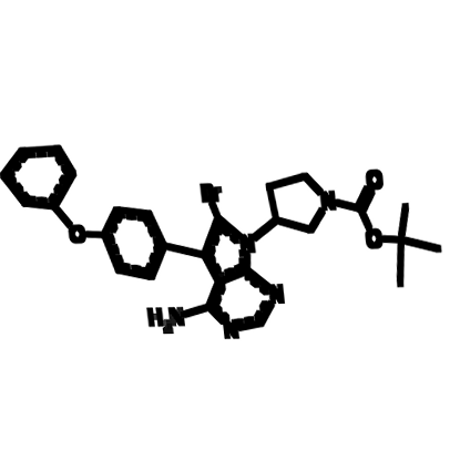 CC(C)(C)OC(=O)N1CCC(n2c(Br)c(-c3ccc(Oc4ccccc4)cc3)c3c(N)ncnc32)C1